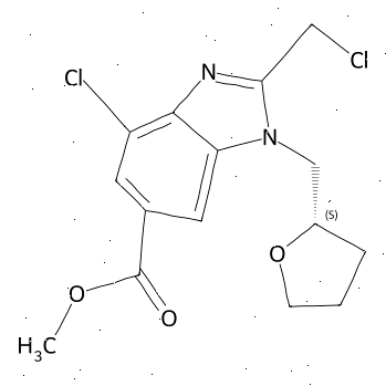 COC(=O)c1cc(Cl)c2nc(CCl)n(C[C@@H]3CCCO3)c2c1